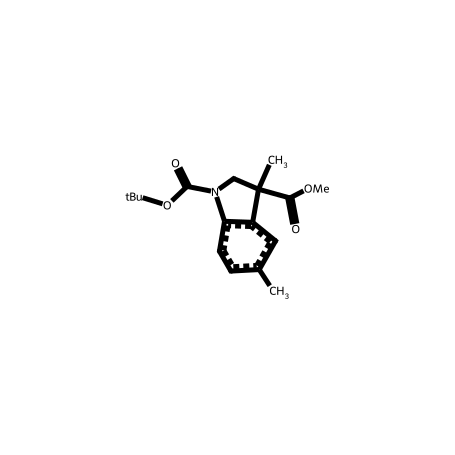 COC(=O)C1(C)CN(C(=O)OC(C)(C)C)c2ccc(C)cc21